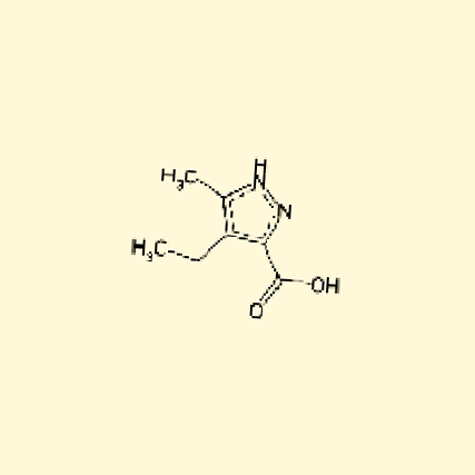 CCc1c(C(=O)O)n[nH]c1C